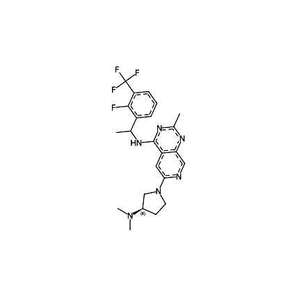 Cc1nc(NC(C)c2cccc(C(F)(F)F)c2F)c2cc(N3CC[C@@H](N(C)C)C3)ncc2n1